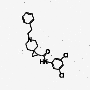 O=C(Nc1cc(Cl)cc(Cl)c1)C1CC12CCN(CCc1ccccc1)CC2